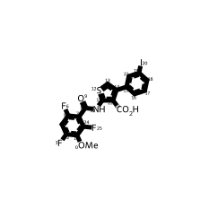 COc1c(F)cc(F)c(C(=O)Nc2scc(-c3cccc(I)c3)c2C(=O)O)c1F